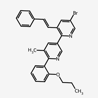 CCCOc1ccccc1-c1ncc(-c2ncc(Br)cc2C=Cc2ccccc2)cc1C